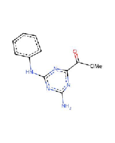 COC(=O)c1nc(N)nc(Nc2ccccc2)n1